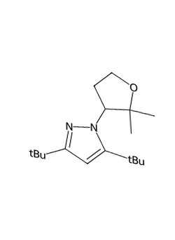 CC(C)(C)c1cc(C(C)(C)C)n(C2CCOC2(C)C)n1